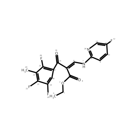 CCOC(=O)C(=CNc1ccc(F)cn1)C(=O)c1cc(F)c(F)c(C)c1F